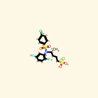 C[C@H](CCCS(=O)(=O)Cl)N(c1cc(F)ccc1F)S(=O)(=O)c1ccc(Cl)cc1